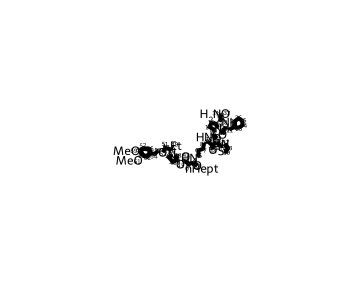 CCCCCCCC(C(=O)NCCCC[C@@H](NC(=O)[C@H]1CCCN1C(=O)[C@H](CC1CCCCC1)NCC(N)=O)C(=O)Oc1nccs1)C(=O)O[C@@H]1CCN([C@H](CC)[C@@H](C)OCCc2ccc(OC)c(OC)c2)C1